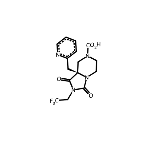 O=C(O)N1CCN2C(=O)N(CC(F)(F)F)C(=O)[C@]2(Cc2ccccn2)C1